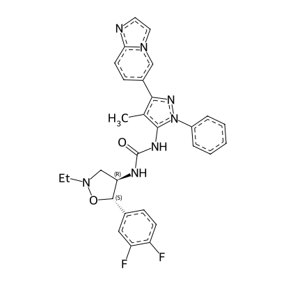 CCN1C[C@@H](NC(=O)Nc2c(C)c(-c3ccc4nccn4c3)nn2-c2ccccc2)[C@H](c2ccc(F)c(F)c2)O1